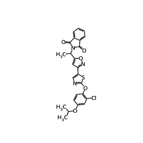 CC(C)Oc1ccc(Oc2ncc(-c3cc(C(C)N4C(=O)c5ccccc5C4=O)on3)s2)c(Cl)c1